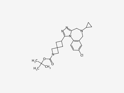 CC(C)(C)OC(=O)N1CC2(CC(c3nnc4n3-c3ccc(Cl)cc3CN(C3CC3)C4)C2)C1